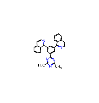 Cc1nc(C)nc(-c2cc(-c3nccc4ccccc34)cc(-c3nccc4ccccc34)c2)n1